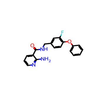 Nc1ncccc1C(=O)NCc1ccc(Oc2ccccc2)c(F)c1